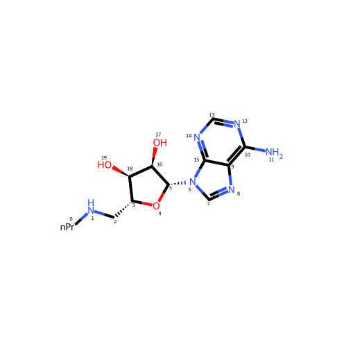 CCCNC[C@H]1O[C@@H](n2cnc3c(N)ncnc32)[C@H](O)[C@@H]1O